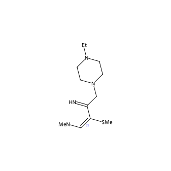 CCN1CCN(CC(=N)/C(=C\NC)SC)CC1